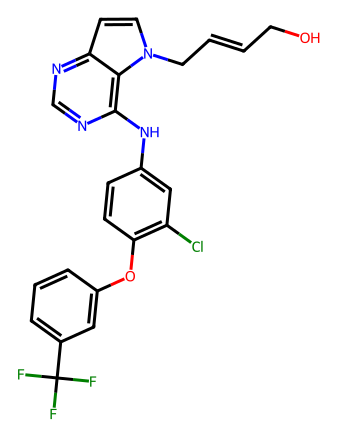 OCC=CCn1ccc2ncnc(Nc3ccc(Oc4cccc(C(F)(F)F)c4)c(Cl)c3)c21